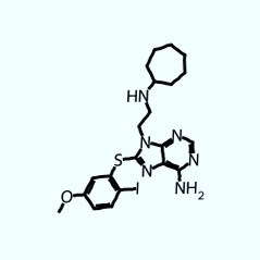 COc1ccc(I)c(Sc2nc3c(N)ncnc3n2CCNC2CCCCCC2)c1